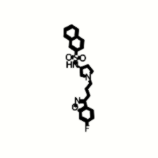 O=S(=O)(N[C@H]1CCN(CCCc2noc3cc(F)ccc23)C1)c1ccc2ccccc2c1